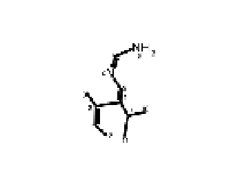 C\C=C(C)/C(=C\N=C/N)C(C)C